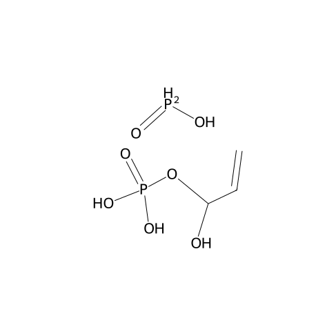 C=CC(O)OP(=O)(O)O.O=[PH2]O